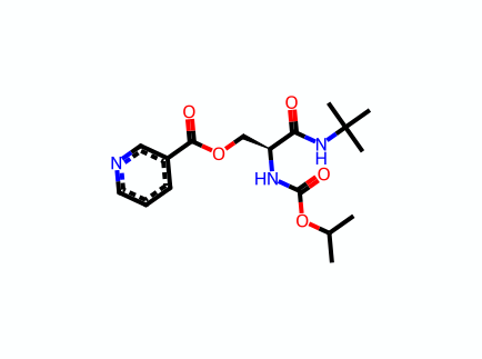 CC(C)OC(=O)N[C@@H](COC(=O)c1cccnc1)C(=O)NC(C)(C)C